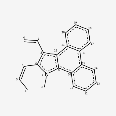 C=Cc1c(/C=C\C)n(C)c2c3ccccc3c3ccccc3c12